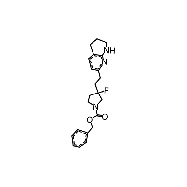 O=C(OCc1ccccc1)N1CC[C@](F)(CCc2ccc3c(n2)NCCC3)C1